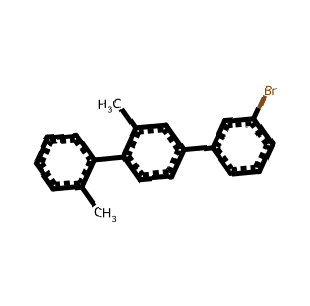 Cc1ccccc1-c1ccc(-c2cccc(Br)c2)cc1C